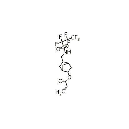 C=CC(=O)OC1CC2CC1CC2CNS(=O)(=O)C(F)(F)C(F)(F)C(F)(F)F